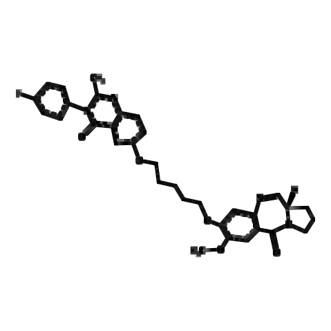 COc1cc2c(cc1OCCCCCOc1ccc3nc(C)n(-c4ccc(F)cc4)c(=O)c3c1)N=C[C@@H]1CCCN1C2=O